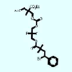 CCOC(=O)C(C)(COC(C)=O)COC(=O)OCC(F)(F)COC(=O)C(C)(C)CC(Br)c1ccccc1